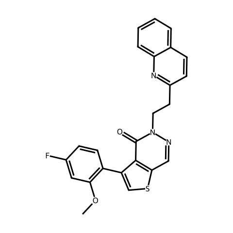 COc1cc(F)ccc1-c1csc2cnn(CCc3ccc4ccccc4n3)c(=O)c12